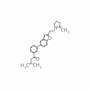 CC(C)CC(=O)c1cccc(-c2ccc3oc(CCN4CCC[C@H]4C)cc3c2)c1